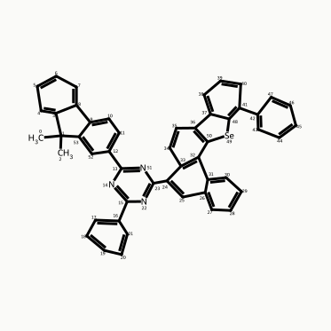 CC1(C)c2ccccc2-c2ccc(-c3nc(-c4ccccc4)nc(-c4cc5ccccc5c5c4ccc4c6cccc(-c7ccccc7)c6[se]c45)n3)cc21